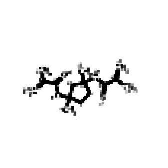 C=C(C)C(=O)OC1(C)CCC(C)(OC(=O)C(=C)C)C1